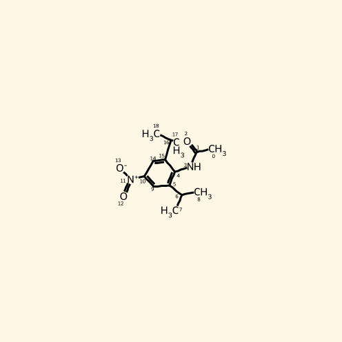 CC(=O)Nc1c(C(C)C)cc([N+](=O)[O-])cc1C(C)C